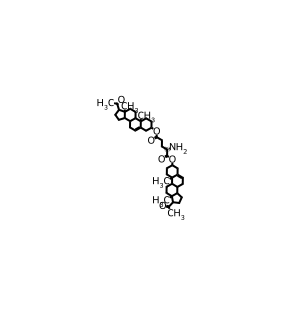 CC(=O)C1CCC2C3CC=C4CC(OC(=O)CC[C@H](N)C(=O)OC5CCC6(C)C(=CCC7C6CCC6(C)C(C(C)=O)CCC76)C5)CCC4(C)C3CCC12C